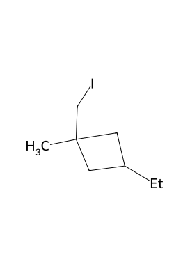 CCC1CC(C)(CI)C1